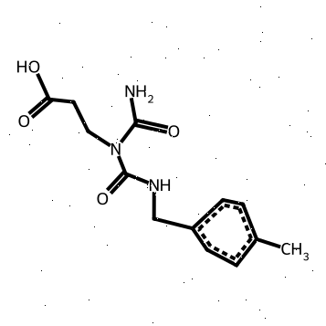 Cc1ccc(CNC(=O)N(CCC(=O)O)C(N)=O)cc1